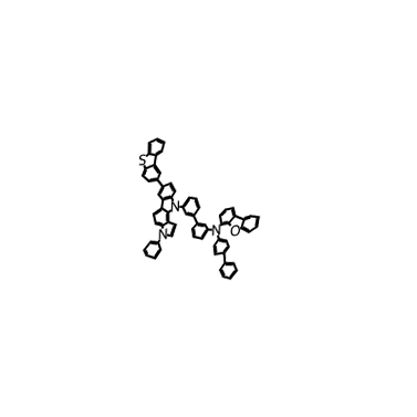 c1ccc(-c2ccc(N(c3cccc(-c4cccc(-n5c6ccc(-c7ccc8sc9ccccc9c8c7)cc6c6ccc7c(ccn7-c7ccccc7)c65)c4)c3)c3cccc4c3oc3ccccc34)cc2)cc1